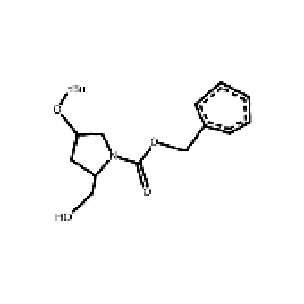 CC(C)(C)OC1CC(CO)N(C(=O)OCc2ccccc2)C1